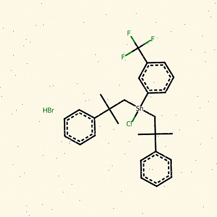 Br.CC(C)([CH2][Sn]([Cl])([CH2]C(C)(C)c1ccccc1)[c]1cccc(C(F)(F)F)c1)c1ccccc1